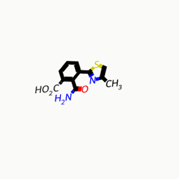 Cc1csc(-c2cccc(C(=O)O)c2C(N)=O)n1